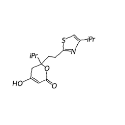 CC(C)c1csc(CCC2(C(C)C)CC(O)=CC(=O)O2)n1